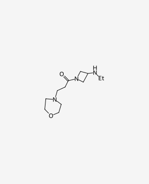 CCNC1CN(C(=O)CCN2CCOCC2)C1